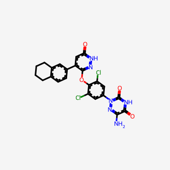 Nc1nn(-c2cc(Cl)c(Oc3n[nH]c(=O)cc3-c3ccc4c(c3)CCCC4)c(Cl)c2)c(=O)[nH]c1=O